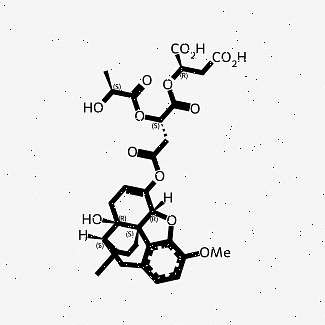 COc1ccc2c3c1O[C@H]1C(OC(=O)C[C@H](OC(=O)[C@H](C)O)C(=O)O[C@H](CC(=O)O)C(=O)O)=CC[C@@]4(O)[C@@H](C2)C(C)CC[C@]314